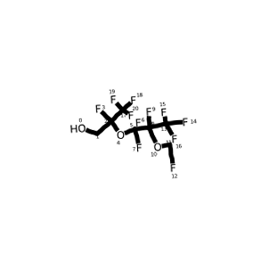 OCC(F)(OC(F)(F)C(F)(OCF)C(F)(F)F)C(F)(F)F